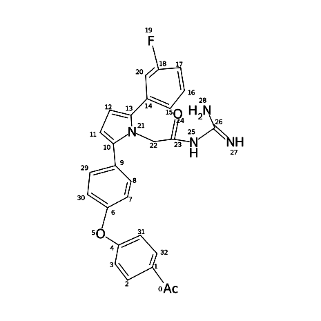 CC(=O)c1ccc(Oc2ccc(-c3ccc(-c4cccc(F)c4)n3CC(=O)NC(=N)N)cc2)cc1